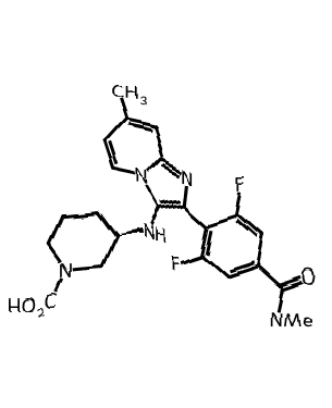 CNC(=O)c1cc(F)c(-c2nc3cc(C)ccn3c2N[C@@H]2CCCN(C(=O)O)C2)c(F)c1